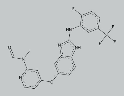 CN(C=O)c1cc(Oc2ccc3[nH]c(Nc4cc(C(F)(F)F)ccc4F)nc3c2)ccn1